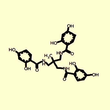 CC(CNC(=O)c1ccc(O)cc1O)(CNC(=O)c1ccc(O)cc1O)CNC(=O)c1ccc(O)cc1O